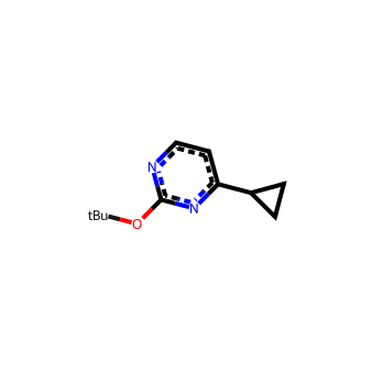 CC(C)(C)Oc1nccc(C2CC2)n1